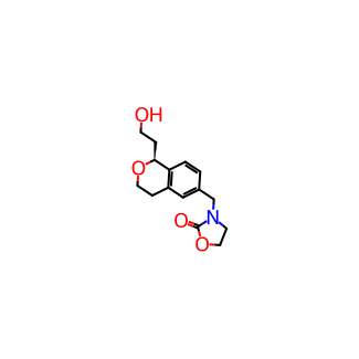 O=C1OCCN1Cc1ccc2c(c1)CCO[C@H]2CCO